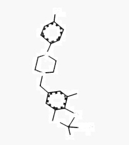 CCOC(=O)C(C)(C)Oc1c(C)cc(CN2CCN(c3ccc(C(F)(F)F)cc3)CC2)cc1C